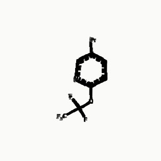 CC(C)c1ccc(OC(F)(F)C(F)(F)F)nc1